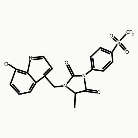 CC1C(=O)N(c2ccc(S(=O)(=O)C(F)(F)F)cc2)C(=O)N1Cc1ccnc2c(Cl)cccc12